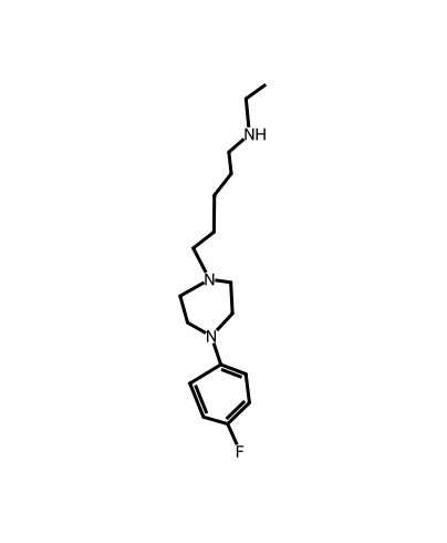 CCNCCCCCN1CCN(c2ccc(F)cc2)CC1